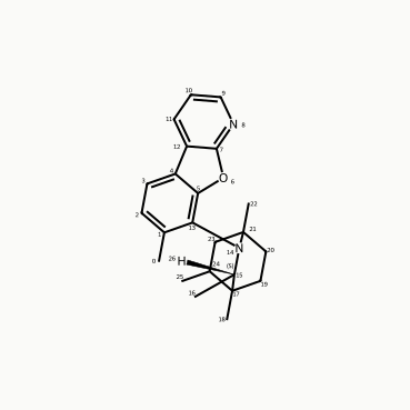 Cc1ccc2c(oc3ncccc32)c1N1[C@@H](C)C2(C)CCC1(C)CC2C